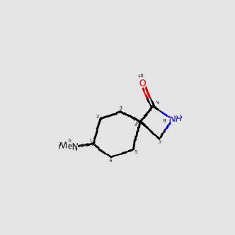 CNC1CCC2(CC1)CNC2=O